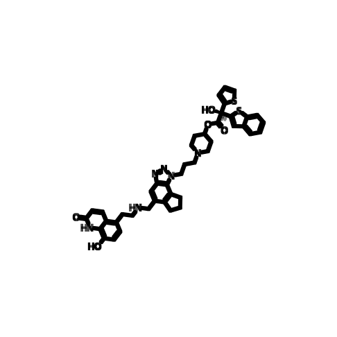 O=C(OC1CCN(CCCn2nnc3cc(CNCCc4ccc(O)c5[nH]c(=O)ccc45)c4c(c32)CCC4)CC1)[C@](O)(c1cccs1)c1cc2ccccc2s1